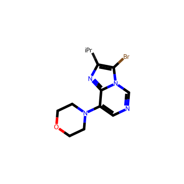 CC(C)c1nc2c(N3CCOCC3)cncn2c1Br